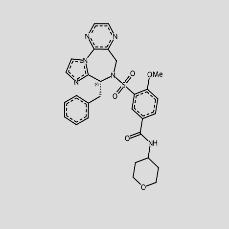 COc1ccc(C(=O)NC2CCOCC2)cc1S(=O)(=O)N1Cc2nccnc2-n2ccnc2[C@H]1Cc1ccccc1